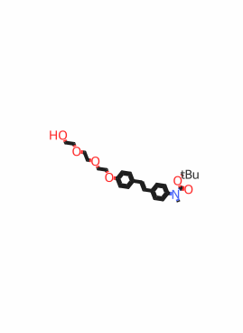 CN(C(=O)OC(C)(C)C)c1ccc(C=Cc2ccc(OCCOCCOCCO)cc2)cc1